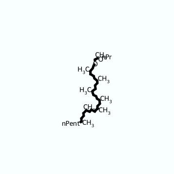 CCCCCC(C)CCCC(C)CCCC(C)CCC(C)CCCC(C)CCCC(C)CCCC(C)CCOCC(C)OCCC